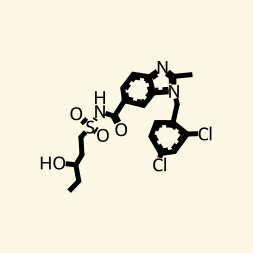 CCC(O)CCS(=O)(=O)NC(=O)c1ccc2nc(C)n(Cc3ccc(Cl)cc3Cl)c2c1